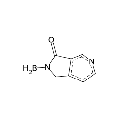 BN1Cc2ccncc2C1=O